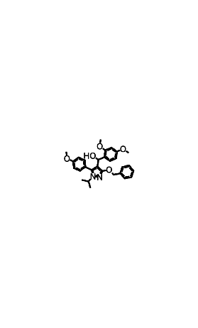 COc1ccc(-c2c(C(O)c3ccc(OC)cc3OC)c(OCc3ccccc3)nn2C(C)C)cc1